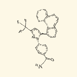 NC(=O)c1ccc(-n2nc(C(F)(F)F)cc2-c2cccc3ccc4ccccc4c23)cc1